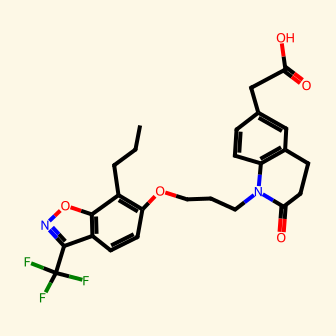 CCCc1c(OCCCN2C(=O)CCc3cc(CC(=O)O)ccc32)ccc2c(C(F)(F)F)noc12